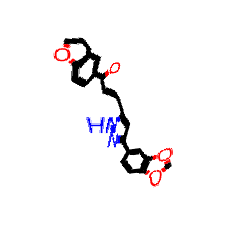 O=C(/C=C/c1cc(-c2ccc3c(c2)OCO3)n[nH]1)c1ccc2c(c1)CCO2